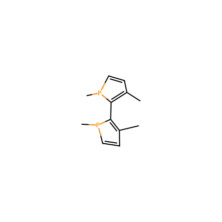 Cc1ccp(C)c1-c1c(C)ccp1C